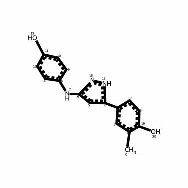 Cc1cc(-c2cc(Nc3ccc(O)cc3)n[nH]2)ccc1O